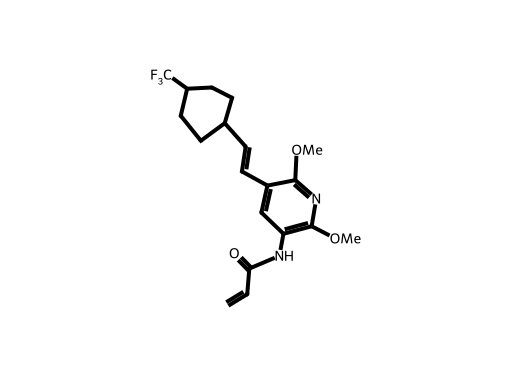 C=CC(=O)Nc1cc(C=CC2CCC(C(F)(F)F)CC2)c(OC)nc1OC